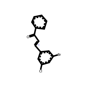 O=C(/C=C/c1cc(Cl)cc(Br)c1)c1ccccc1